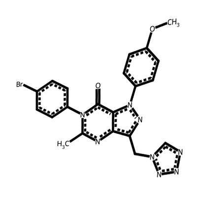 COc1ccc(-n2nc(Cn3cnnn3)c3nc(C)n(-c4ccc(Br)cc4)c(=O)c32)cc1